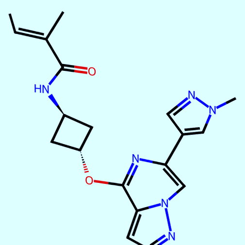 CC=C(C)C(=O)N[C@H]1C[C@H](Oc2nc(-c3cnn(C)c3)cn3nccc23)C1